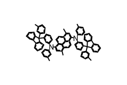 Cc1cccc(N(c2cccc(C3(c4cccc(C)c4)c4ccccc4-c4ccccc43)c2)c2cc(C)c3ccc4c(N(c5cccc(C)c5)c5cccc(C6(c7cccc(C)c7)c7ccccc7-c7ccccc76)c5)cc(C)c5ccc2c3c54)c1